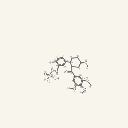 COc1cc(C(=O)C2CC(OC)CCC2c2ccc(F)c(OOP(=O)(O)O)c2)cc(OC)c1OC